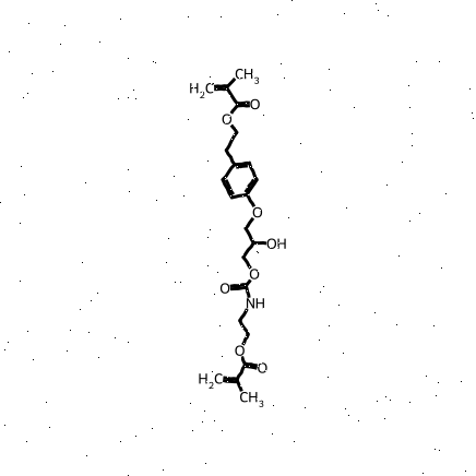 C=C(C)C(=O)OCCNC(=O)OCC(O)COc1ccc(CCOC(=O)C(=C)C)cc1